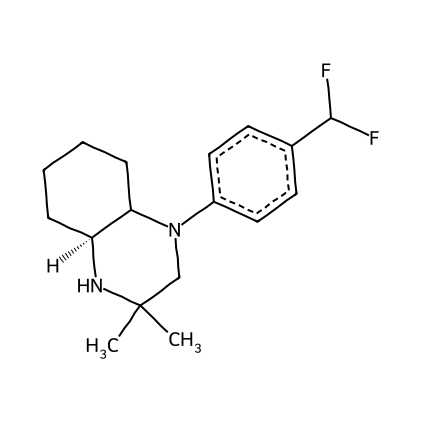 CC1(C)CN(c2ccc(C(F)F)cc2)C2CCCC[C@@H]2N1